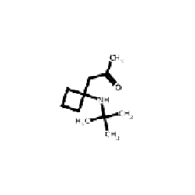 CC(=O)CC1(NC(C)(C)C)CCC1